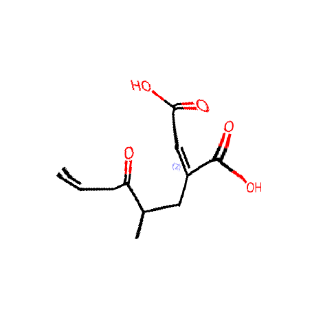 C=CC(=O)C(C)C/C(=C/C(=O)O)C(=O)O